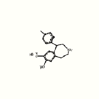 Br.Cc1ccc(C2CNCCc3cc(O)c(O)cc32)cc1